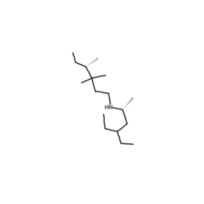 CCC(CC)C[C@@H](C)NCCC(C)(C)[C@@H](C)CC